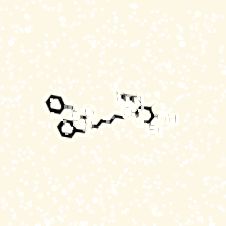 CCC1O[C@H](OCCCCCN(Cc2ccccc2)C(=O)OCc2ccccc2)C(N=[N+]=[N-])[C@@H](C)[C@@H]1O